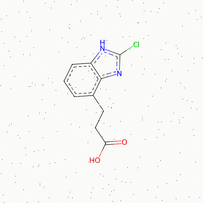 O=C(O)CCc1cccc2[nH]c(Cl)nc12